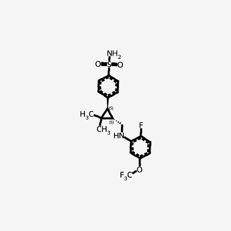 CC1(C)[C@@H](CNc2cc(OC(F)(F)F)ccc2F)[C@@H]1c1ccc(S(N)(=O)=O)cc1